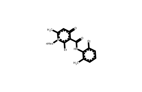 CCCCCCn1c(C)cc(=O)c(C(=O)Nc2c(C)cccc2CC)c1CC